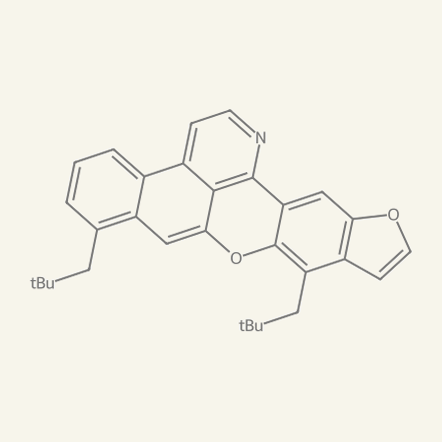 CC(C)(C)Cc1c2c(cc3occc13)-c1nccc3c1c(cc1c(CC(C)(C)C)cccc13)O2